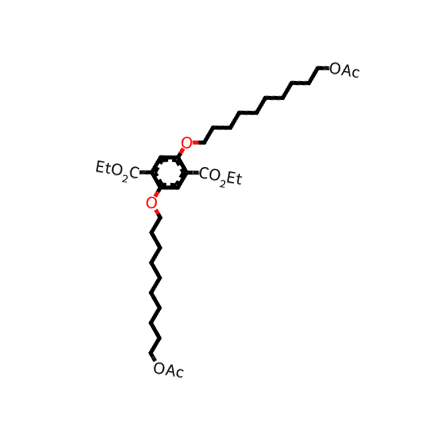 CCOC(=O)c1cc(OCCCCCCCCCCOC(C)=O)c(C(=O)OCC)cc1OCCCCCCCCCCOC(C)=O